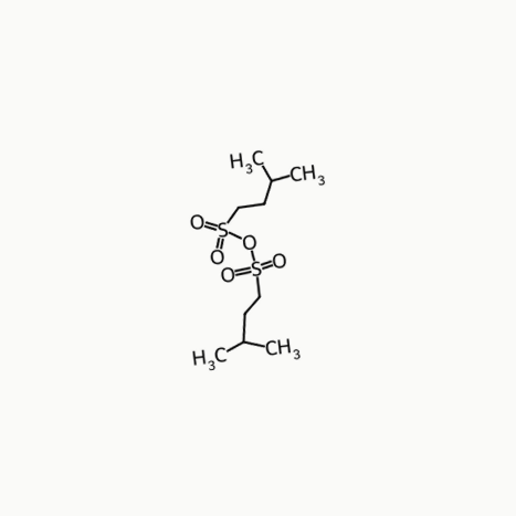 CC(C)CCS(=O)(=O)OS(=O)(=O)CCC(C)C